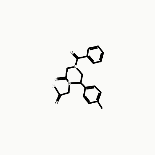 Cc1ccc(C2CN(C(=O)c3ccccc3)CC(=O)N2CC(=O)Cl)cc1